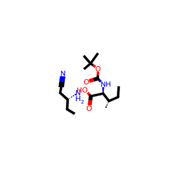 CC[C@@H](N)CC#N.CC[C@H](C)[C@H](NC(=O)OC(C)(C)C)C(=O)O